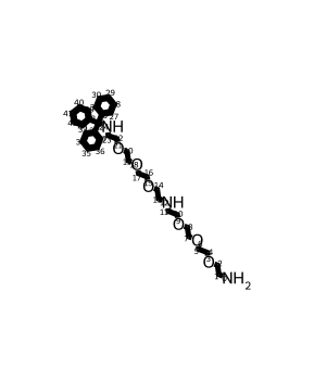 NCCOCCOCCOCCNCCOCCOCCOCCNC(c1ccccc1)(c1ccccc1)c1ccccc1